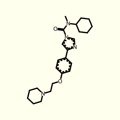 CN(C(=O)n1cnc(-c2ccc(OCCN3CCCCC3)cc2)c1)C1CCCCC1